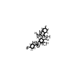 Cc1ccc2c(NC(C)c3ccc(NC(=O)c4ccc(F)cc4)cc3)nc(N(C)C)nc2c1.Cl